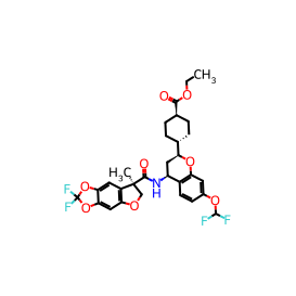 CCOC(=O)[C@H]1CC[C@H]([C@@H]2C[C@H](NC(=O)[C@@]3(C)COc4cc5c(cc43)OC(F)(F)O5)c3ccc(OC(F)F)cc3O2)CC1